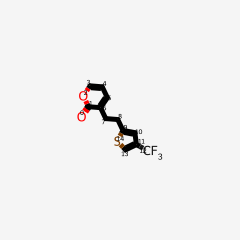 O=c1occcc1CCc1cc(C(F)(F)F)cs1